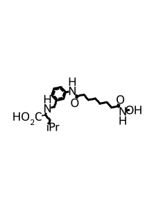 CC(C)C[C@H](NCc1cccc(NC(=O)CCCCCCC(=O)NO)c1)C(=O)O